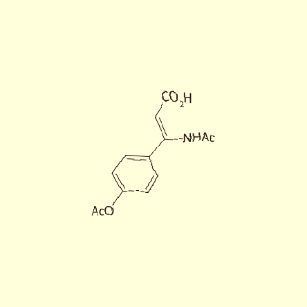 CC(=O)NC(=CC(=O)O)c1ccc(OC(C)=O)cc1